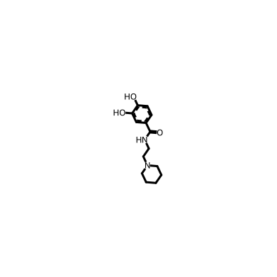 O=C(NCCN1CCCCC1)c1ccc(O)c(O)c1